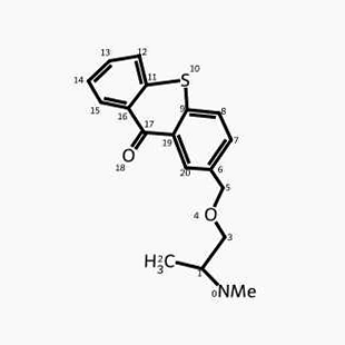 CNC(C)COCc1ccc2sc3ccccc3c(=O)c2c1